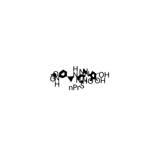 CCCSc1nc(N[C@H]2C[C@@H]2c2cccc(NS(C)(=O)=O)c2)c2nnn(C3C[C@H](CO)[C@@H](O)C3O)c2n1